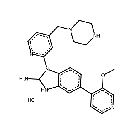 COc1cnccc1-c1ccc2c(c1)NC(N)N2c1cc(CN2CCNCC2)ccn1.Cl